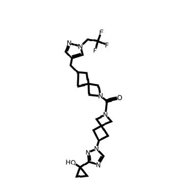 O=C(N1CC2(CC(Cc3cnn(CC(F)(F)F)c3)C2)C1)N1CC2(CC(n3cnc(C4(O)CC4)n3)C2)C1